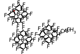 Fc1c(F)c(F)c([B-](c2c(F)c(F)c(F)c(F)c2F)(c2c(F)c(F)c(F)c(F)c2F)c2c(F)c(F)c(F)c(F)c2F)c(F)c1F.Fc1c(F)c(F)c([B-](c2c(F)c(F)c(F)c(F)c2F)(c2c(F)c(F)c(F)c(F)c2F)c2c(F)c(F)c(F)c(F)c2F)c(F)c1F.Fc1c(F)c(F)c([B-](c2c(F)c(F)c(F)c(F)c2F)(c2c(F)c(F)c(F)c(F)c2F)c2c(F)c(F)c(F)c(F)c2F)c(F)c1F.[CH3][Al+][CH3]